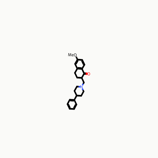 COc1ccc2c(c1)CCC(CN1CCC(c3ccccc3)CC1)C2=O